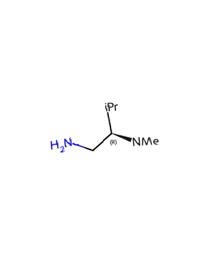 CN[C@@H](CN)C(C)C